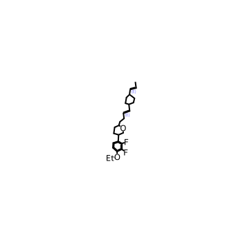 C/C=C/C1CCC(/C=C/CCC2CCC(c3ccc(OCC)c(F)c3F)CO2)CC1